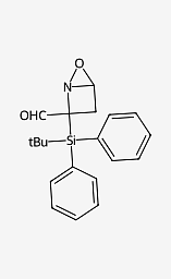 CC(C)(C)[Si](c1ccccc1)(c1ccccc1)C1(C=O)CC2ON21